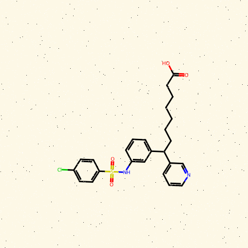 O=C(O)CCCCCCC(c1cccnc1)c1cccc(NS(=O)(=O)c2ccc(Cl)cc2)c1